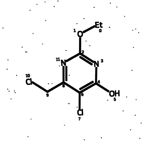 CCOc1nc(O)c(Cl)c(CCl)n1